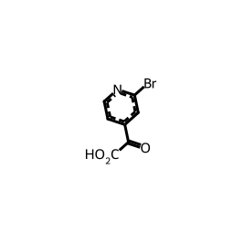 O=C(O)C(=O)c1ccnc(Br)c1